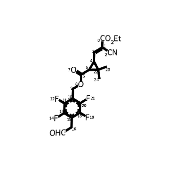 CCOC(=O)/C(C#N)=C/C1C(C(=O)OCc2c(F)c(F)c(CC=O)c(F)c2F)C1(C)C